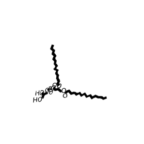 CCCCCCCCCCCCCCCC(=O)OCC(COP(C)(=O)OCC(O)CO)OC(=O)CCCCCCCCCCCCCCC